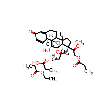 CCC(=O)O.CCC(=O)OCC(=O)[C@@]1(OC(=O)CC)[C@@H](C)C[C@H]2[C@@H]3CCC4=CC(=O)C=C[C@]4(C)C3(Cl)[C@@H](O)C[C@@]21C.CCOC(=O)CC